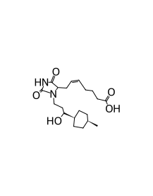 C[C@H]1CC[C@@H](C(O)CCN2C(=O)NC(=O)C2C/C=C\CCCC(=O)O)CC1